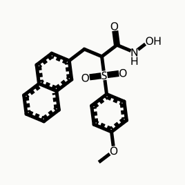 COc1ccc(S(=O)(=O)C(Cc2ccc3ccccc3c2)C(=O)NO)cc1